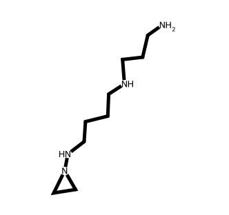 NCCCNCCCCNN1CC1